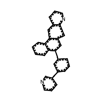 c1cncc(-c2cccc(-c3cc4cc5ncccc5cc4c4ccccc34)c2)c1